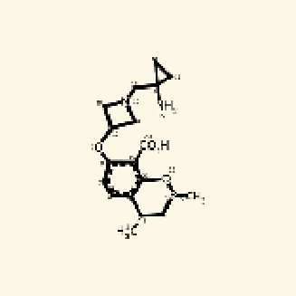 CB1C[C@H](C)c2ccc(OC3CN(CC4(N)CC4)C3)c(C(=O)O)c2O1